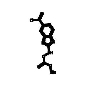 CC(C)(C)OC(=O)ONc1nc2ccc(C(=O)Cl)cc2s1